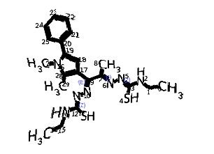 CCN/C(S)=N/N=C(C)/C(=N/N=C(\S)NCC)c1cc(-c2ccccc2)n(C)c1C